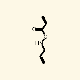 C=CCNOC(=O)C=C